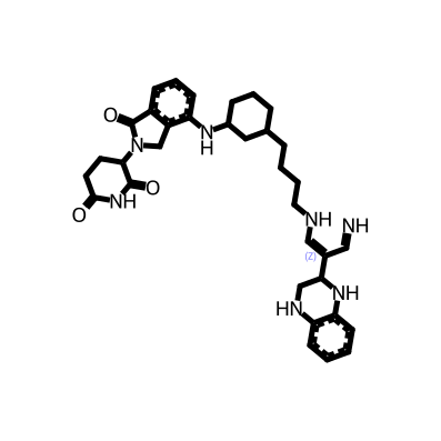 N=C/C(=C\NCCCCC1CCCC(Nc2cccc3c2CN(C2CCC(=O)NC2=O)C3=O)C1)C1CNc2ccccc2N1